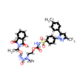 Cc1ccc(-c2cc(C(F)(F)F)nn2-c2ccc(S(=O)(=O)NC(=O)OCCN(C(C)C)/[N+]([O-])=N\OC(C)N3C(=O)c4ccccc4C3=O)cc2)cc1